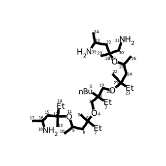 CCCCC(CC)(COC(C)(CC)CC(C)OC(C)(CC)CC(C)N)COC(C)(CC)CC(C)OC(C)(CN)CC(C)N